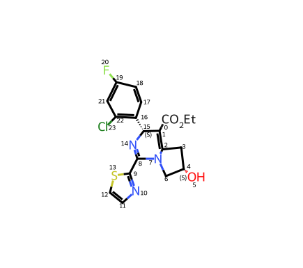 CCOC(=O)C1=C2C[C@H](O)CN2C(c2nccs2)=N[C@@H]1c1ccc(F)cc1Cl